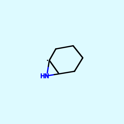 C1CCC2N[C]2C1